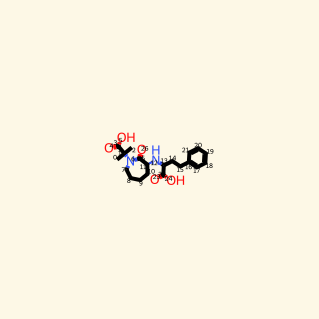 CC(C)(C(=O)O)N1CCCC[C@H](NC(CCc2ccccc2)C(=O)O)C1=O